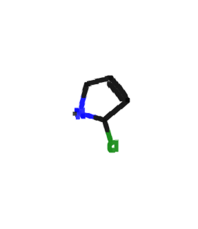 ClC1C=CC[N]1